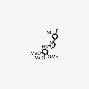 COc1cc(Nc2nccc(-c3ccc(F)c(C#N)c3)n2)cc(OC)c1OC